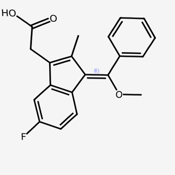 CO/C(=C1/C(C)=C(CC(=O)O)c2cc(F)ccc21)c1ccccc1